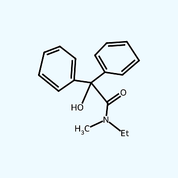 CCN(C)C(=O)C(O)(c1ccccc1)c1ccccc1